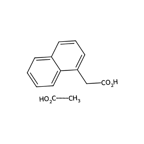 CC(=O)O.O=C(O)Cc1cccc2ccccc12